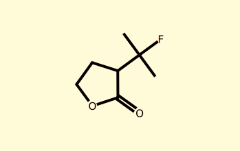 CC(C)(F)C1CCOC1=O